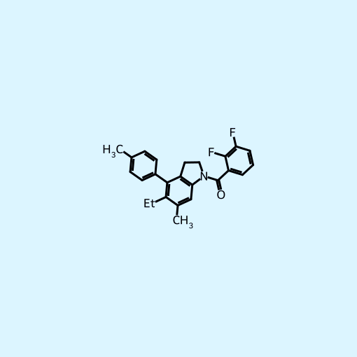 CCc1c(C)cc2c(c1-c1ccc(C)cc1)CCN2C(=O)c1cccc(F)c1F